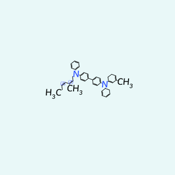 CC/C=C\C(C)=C/CN(c1ccccc1)c1ccc(-c2ccc(N(C3=CC(C)=CCC3)C3C=CC=CC3)cc2)cc1